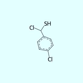 SC(Cl)c1ccc(Cl)cc1